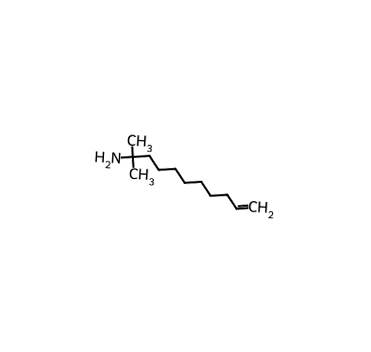 C=CCCCCCCCC(C)(C)N